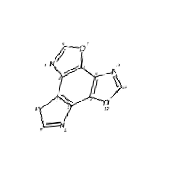 C1=Nc2c(c3ncoc3c3ncoc23)C1